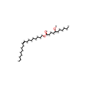 CCCCCCCC/C=C\CCCCCCCCOC(=O)CCCC(CCCCCC)OC